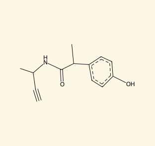 C#CC(C)NC(=O)C(C)c1ccc(O)cc1